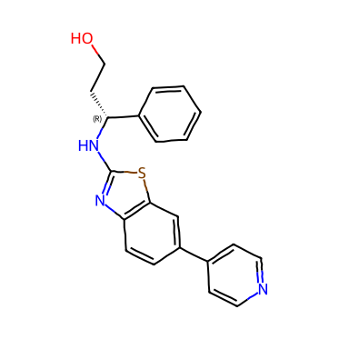 OCC[C@@H](Nc1nc2ccc(-c3ccncc3)cc2s1)c1ccccc1